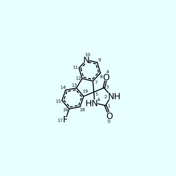 O=C1NC(=O)C2(N1)c1ccncc1-c1ccc(F)cc12